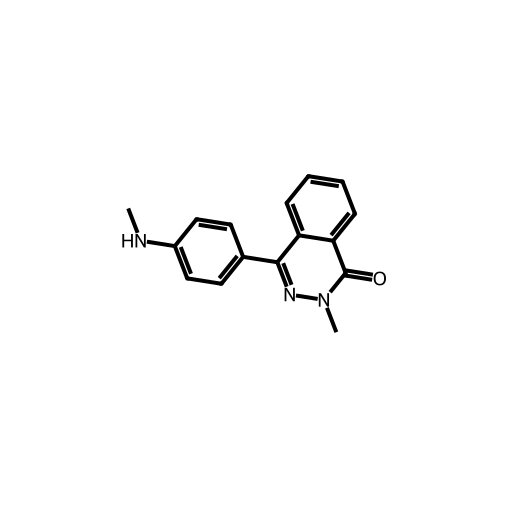 CNc1ccc(-c2nn(C)c(=O)c3ccccc23)cc1